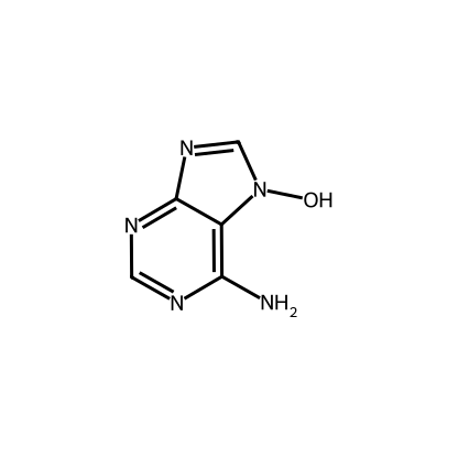 Nc1ncnc2ncn(O)c12